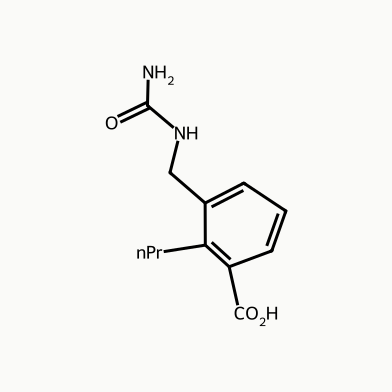 CCCc1c(CNC(N)=O)cccc1C(=O)O